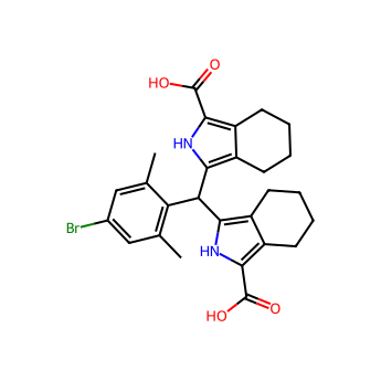 Cc1cc(Br)cc(C)c1C(c1[nH]c(C(=O)O)c2c1CCCC2)c1[nH]c(C(=O)O)c2c1CCCC2